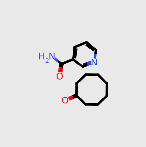 NC(=O)c1cccnc1.O=C1CCCCCCC1